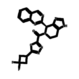 O=C(c1nnc(C2CC(F)(F)C2)o1)N1CCc2[nH]cnc2[C@@H]1c1ncc2ccccc2n1